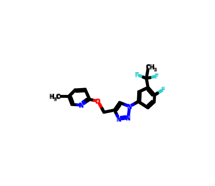 Cc1ccc(OCc2cn(-c3ccc(F)c(C(C)(F)F)c3)nn2)nc1